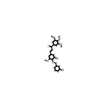 COc1cc(/C=C/C(=O)c2cc(OC)c(OC)c(OC)c2)cc(Cl)c1OCc1cccc(Cl)c1